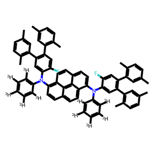 [2H]c1c([2H])c([2H])c(N(c2cc(-c3cc(C)ccc3C)c(-c3cc(C)ccc3C)cc2F)c2ccc3ccc4c(N(c5cc(-c6cc(C)ccc6C)c(-c6cc(C)ccc6C)cc5F)c5c([2H])c([2H])c([2H])c([2H])c5[2H])ccc5ccc2c3c54)c([2H])c1[2H]